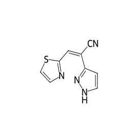 N#CC(=Cc1nccs1)c1cc[nH]n1